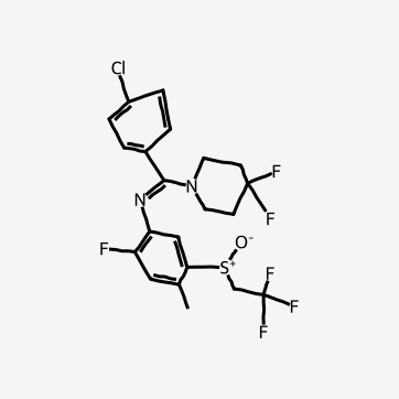 Cc1cc(F)c(/N=C(/c2ccc(Cl)cc2)N2CCC(F)(F)CC2)cc1[S+]([O-])CC(F)(F)F